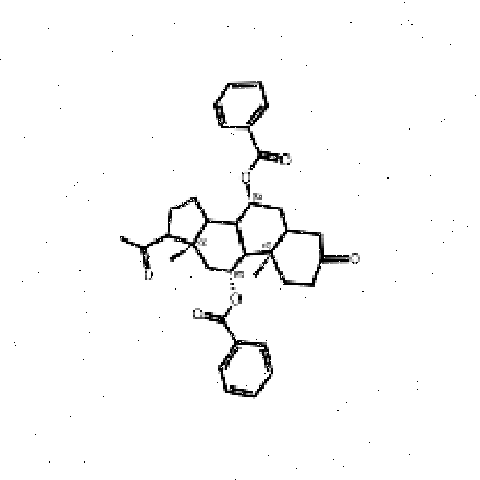 CC(=O)C1CCC2C3C([C@H](OC(=O)c4ccccc4)C[C@]12C)[C@@]1(C)CCC(=O)CC1C[C@@H]3OC(=O)c1ccccc1